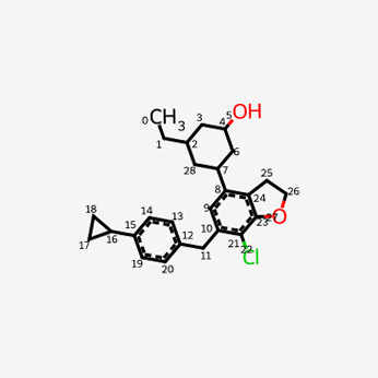 CCC1CC(O)CC(c2cc(Cc3ccc(C4CC4)cc3)c(Cl)c3c2CCO3)C1